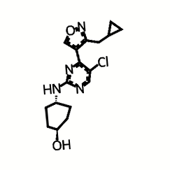 O[C@H]1CC[C@H](Nc2ncc(Cl)c(-c3conc3CC3CC3)n2)CC1